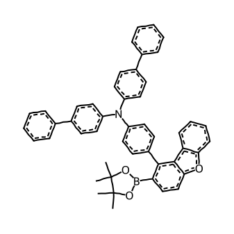 CC1(C)OB(c2ccc3oc4ccccc4c3c2-c2ccc(N(c3ccc(-c4ccccc4)cc3)c3ccc(-c4ccccc4)cc3)cc2)OC1(C)C